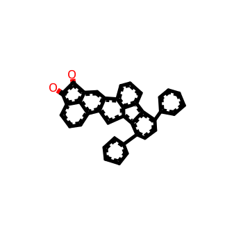 O=c1c(=O)c2cc3c(cc4c5c(-c6ccccc6)ccc(-c6ccccc6)c5c5cccc3c54)c3cccc1c23